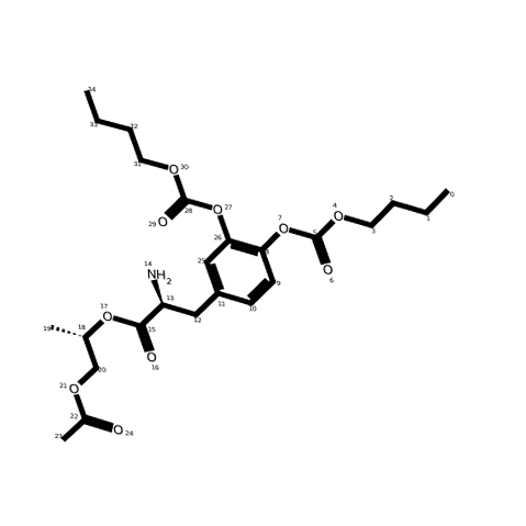 CCCCOC(=O)Oc1ccc(C[C@H](N)C(=O)O[C@@H](C)COC(C)=O)cc1OC(=O)OCCCC